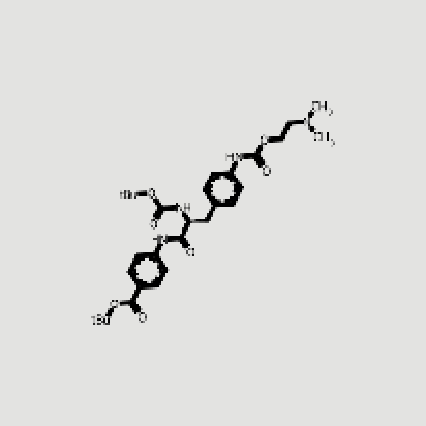 CN(C)CCOC(=O)Nc1ccc(C[C@H](NC(=O)OC(C)(C)C)C(=O)Nc2ccc(C(=O)OC(C)(C)C)cc2)cc1